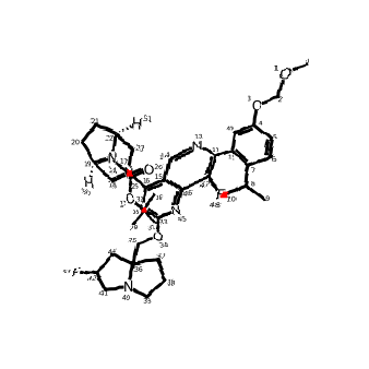 COCOc1ccc(C(C)C)c(-c2ncc3c(N4C[C@H]5CC[C@@H](C4)N5C(=O)OC(C)(C)C)nc(OCC45CCCN4CC(F)C5)nc3c2F)c1